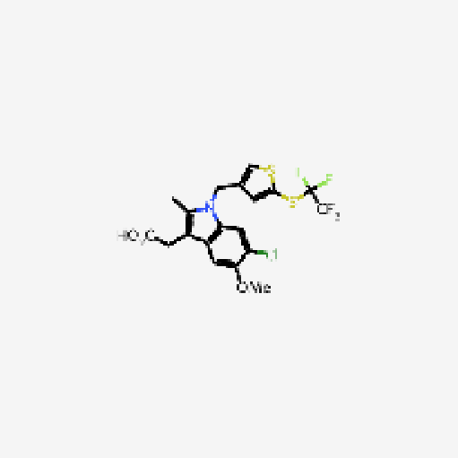 COc1cc2c(CC(=O)O)c(C)n(Cc3csc(SC(F)(F)C(F)(F)F)c3)c2cc1Cl